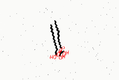 CCCCCCCCCCCCCCCCCC(=O)O.CCCCCCCCCCCCCCCCCC(=O)OC(CO)CO